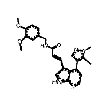 COc1ccc(CNC(=O)/C=C/c2c[nH]c3nccc(-c4cnn(C)c4C)c23)cc1OC